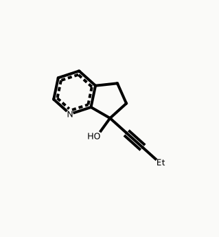 CCC#CC1(O)CCc2cccnc21